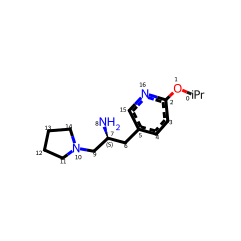 CC(C)Oc1ccc(C[C@H](N)CN2CCCC2)cn1